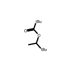 CC(OC(=O)C(C)(C)C)C(C)(C)C